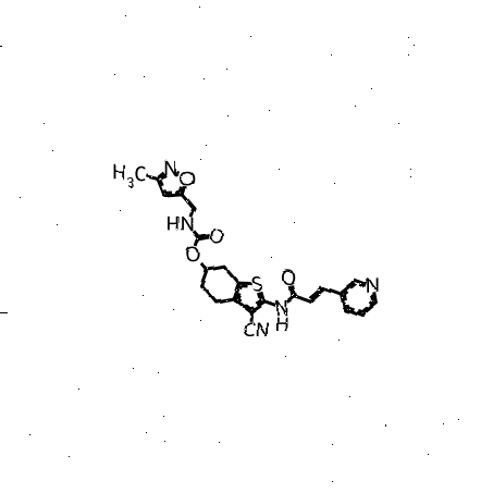 Cc1cc(CNC(=O)OC2CCc3c(sc(NC(=O)/C=C/c4cccnc4)c3C#N)C2)on1